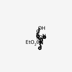 CCOC(=O)c1c(CSc2ccccc2)n(C)c2cc(-c3cccnc3)c(O)c(CN3CCN(CCOCCO)CC3)c12